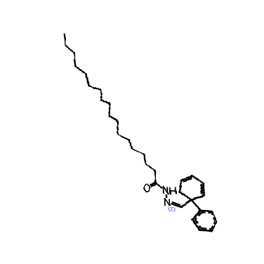 CCCCCCCCCCCCCCCCCC(=O)N/N=C\C1(c2ccccc2)C=CC=CC1